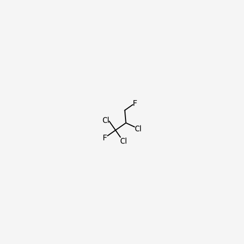 FCC(Cl)C(F)(Cl)Cl